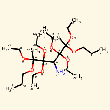 CCCOC([SiH3])(OCC)C(OCC)(OCC)C(N)C(OCC)(OCC)C([SiH3])(OCC)OCCC